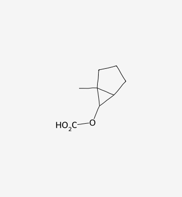 CC12CCCC1C2OC(=O)O